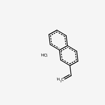 C=Cc1ccc2ccccc2c1.Cl